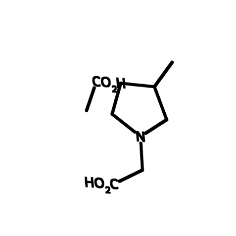 CC(=O)O.CC1CCN(CC(=O)O)C1